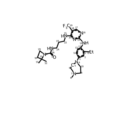 CCc1cc(N2CCN(C)CC2)ccc1Nc1ncc(C(F)(F)F)c(NCCCNC(=O)N2CCC2(C)C)n1